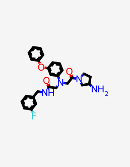 NC1CCN(C(=O)CN(CC(=O)NCc2cccc(F)c2)c2cccc(Oc3ccccc3)c2)C1